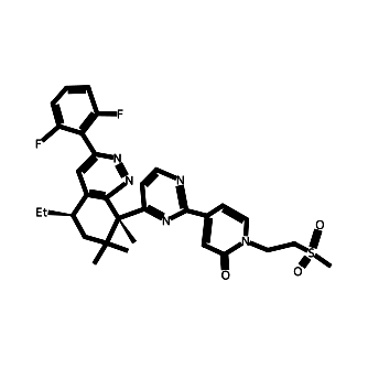 CC[C@@H]1CC(C)(C)[C@@](C)(c2ccnc(-c3ccn(CCS(C)(=O)=O)c(=O)c3)n2)c2nnc(-c3c(F)cccc3F)cc21